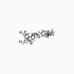 CCN(C(=O)c1ccc(NC(=O)Cc2ccc(S(=O)(=O)NC3CC3)cc2)cc1)c1ccc(C)cc1